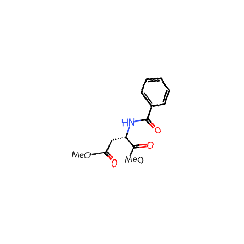 COC(=O)C[C@H](NC(=O)c1ccccc1)C(=O)OC